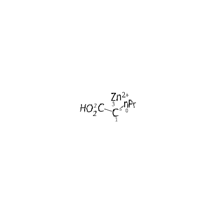 [CH2-]CC[CH-]C(=O)O.[Zn+2]